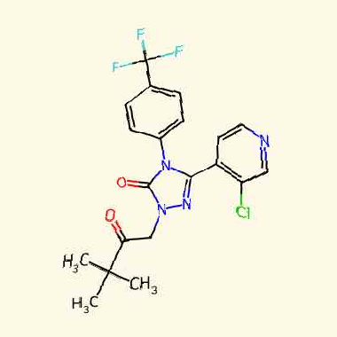 CC(C)(C)C(=O)Cn1nc(-c2ccncc2Cl)n(-c2ccc(C(F)(F)F)cc2)c1=O